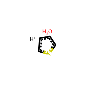 O.[H+].c1ccsc1